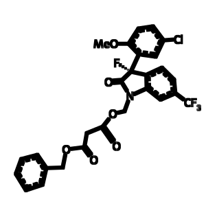 COc1ccc(Cl)cc1[C@]1(F)C(=O)N(COC(=O)CC(=O)OCc2ccccc2)c2cc(C(F)(F)F)ccc21